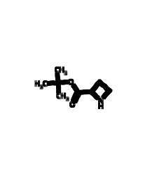 CC(C)(C)OC(=O)C1CCN1